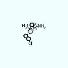 CCC1(c2ccccc2)CN(c2cccc3cc(Cl)ccc23)CCN1c1csc(N)n1